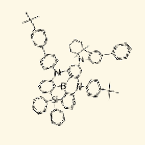 CC(C)(C)c1ccc(-c2ccc(N3c4cc(N5c6ccc(-c7ccccc7)cc6C6(C)CCCCC56C)cc5c4B4c6c3cccc6[Si](c3ccccc3)(c3ccccc3)c3cccc(c34)N5c3ccc(C(C)(C)C)cc3)cc2)cc1